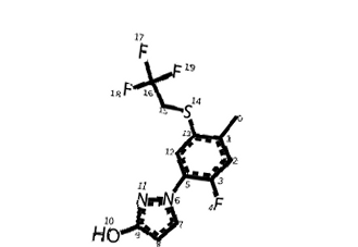 Cc1cc(F)c(-n2ccc(O)n2)cc1SCC(F)(F)F